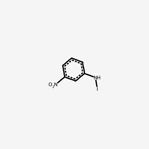 O=[N+]([O-])c1cccc(NI)c1